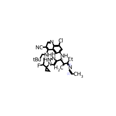 C=C(/C(CC)=N\C=C/C)[C@H](Nc1cc(Cl)c2ncc(C#N)c(NCC(C)(C)C)c2c1)C1=CN(C2(C(F)F)CC2)NN1